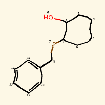 OC1CCCCC1SCc1ccccc1